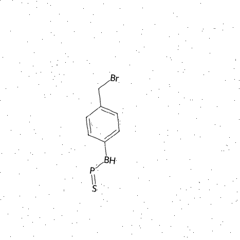 S=PBc1ccc(CBr)cc1